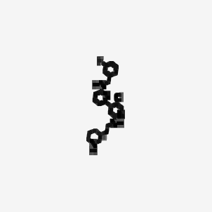 Fc1cccc(CNc2cccc(-c3cc(NCC[C@@H]4CCCNC4)ncc3Cl)n2)c1